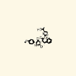 COc1ccc([C@H]2NC(=O)N([C@H](C(=O)Nc3nc(C(C)O)cs3)[C@@H](C)c3ccccc3)C2=O)cc1